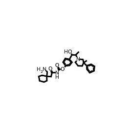 CC(C(O)c1ccc(OC(=O)NC(=O)CC2(CN)CCCCC2)cc1)N1CCCC(C)(c2ccccc2)C1